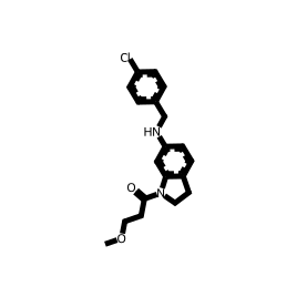 COCCC(=O)N1CCc2ccc(NCc3ccc(Cl)cc3)cc21